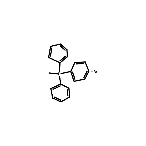 Br.C[P](c1ccccc1)(c1ccccc1)c1ccccc1